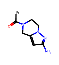 CC(C)C(=O)N1CCn2nc(N)cc2C1